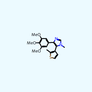 COc1cc(-c2ncn(C)c2-c2ccsc2C)cc(OC)c1OC